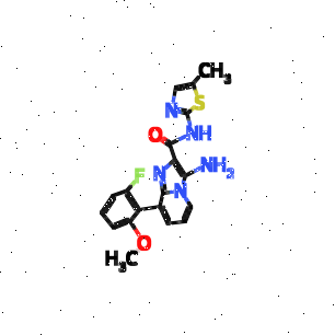 COc1cccc(F)c1-c1cccn2c(N)c(C(=O)Nc3ncc(C)s3)nc12